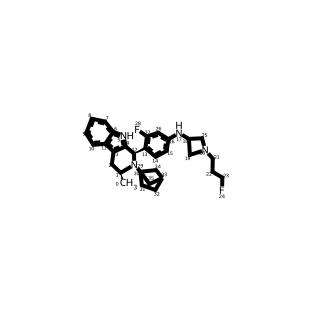 C[C@@H]1Cc2c([nH]c3ccccc23)[C@@H](c2ccc(NC3CN(CCCF)C3)cc2F)N1C12CCC(C1)C2